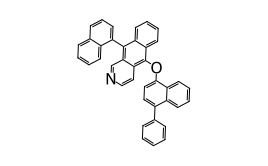 c1ccc(-c2ccc(Oc3c4ccccc4c(-c4cccc5ccccc45)c4cnccc34)c3ccccc23)cc1